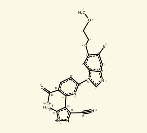 COCCOc1cc2c(cc1Br)ncn2-c1ccc(C(C)=O)c(-c2c(C#N)n[nH]c2C)n1